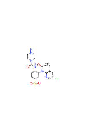 CS(=O)(=O)c1ccc(NC(=O)N2CCNCC2)c(N(C(=O)C(F)(F)F)c2ccc(Cl)cn2)c1